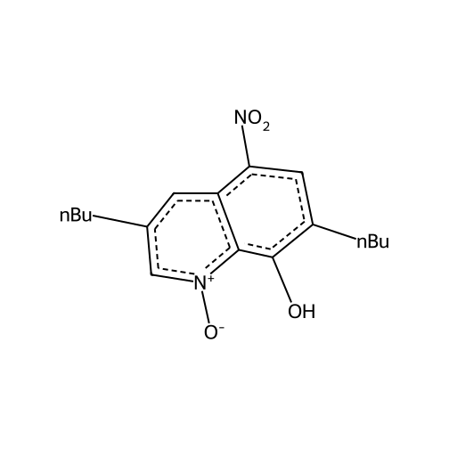 CCCCc1cc2c([N+](=O)[O-])cc(CCCC)c(O)c2[n+]([O-])c1